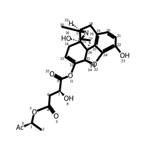 CC(=O)[C@H](C)OC(=O)C[C@H](O)C(=O)OC1=CC[C@@]2(O)[C@H]3Cc4ccc(O)c5c4[C@@]2(CCN3C)[C@H]1O5